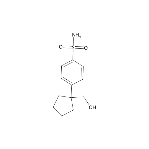 NS(=O)(=O)c1ccc(C2(CO)CCCC2)cc1